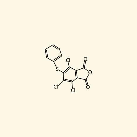 O=C1OC(=O)c2c(Cl)c(Sc3ccccc3)c(Cl)c(Cl)c21